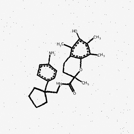 Cc1c(C)c2c(c(C)c1O)CCC(C)(C(=O)NCC1(c3ccc(N)cc3)CCCC1)O2